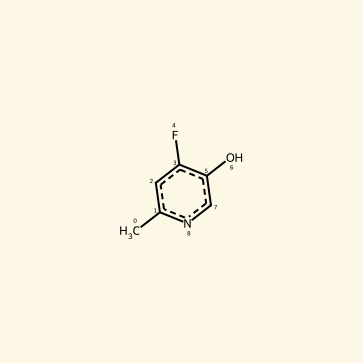 Cc1cc(F)c(O)cn1